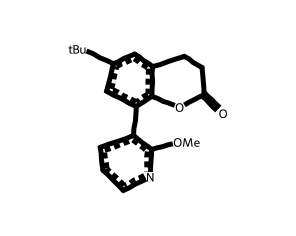 COc1ncccc1-c1cc(C(C)(C)C)cc2c1OC(=O)CC2